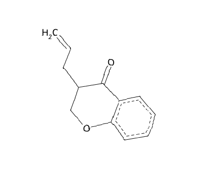 C=CCC1COc2ccccc2C1=O